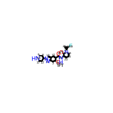 CC(C)Oc1cc2nn(C3CCNCC3)cc2cc1C(=O)Nc1cccn([C@H]2C[C@H]2F)c1=O